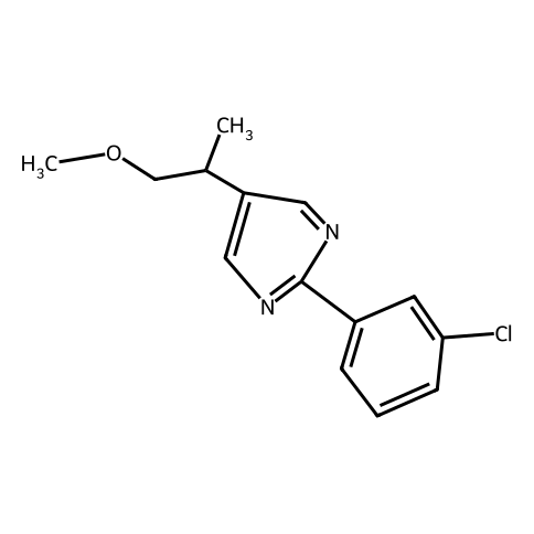 COCC(C)c1cnc(-c2cccc(Cl)c2)nc1